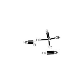 C#C.C#C.CCP(=O)(O)O